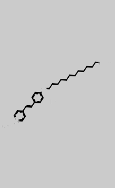 CCCCCCCCCCCCCCCCCCCCCCOc1ccc(C=Cc2cc[n+](CCCCCCCCCC)cc2)cc1.[Br-]